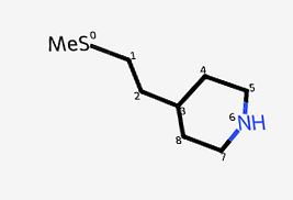 CSCCC1CCNCC1